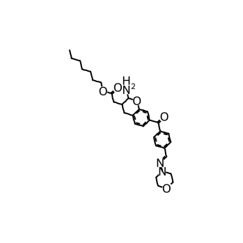 CCCCCCCOC(=O)CC1Cc2ccc(C(=O)c3ccc(C=NN4CCOCC4)cc3)cc2OC1N